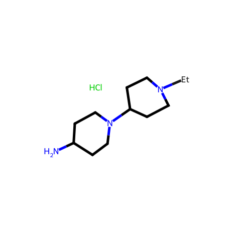 CCN1CCC(N2CCC(N)CC2)CC1.Cl